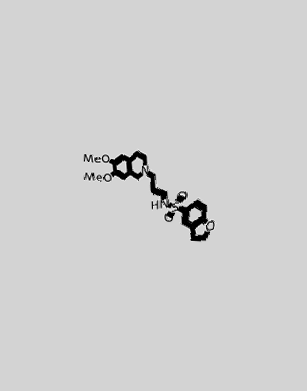 COc1cc2c(cc1OC)CN(CCCNS(=O)(=O)c1ccc3c(c1)CCO3)CC2